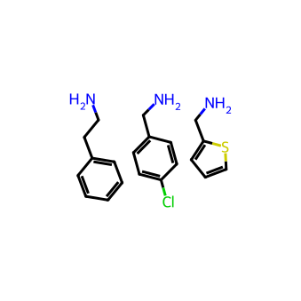 NCCc1ccccc1.NCc1ccc(Cl)cc1.NCc1cccs1